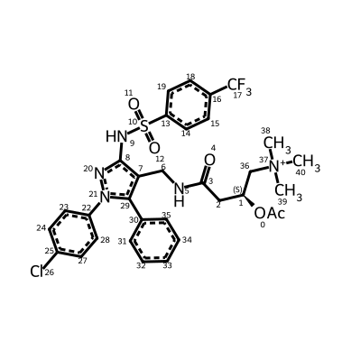 CC(=O)O[C@@H](CC(=O)NCc1c(NS(=O)(=O)c2ccc(C(F)(F)F)cc2)nn(-c2ccc(Cl)cc2)c1-c1ccccc1)C[N+](C)(C)C